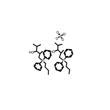 CCCC[P+](CC(C)C(O)C(C)C)(c1ccccc1)c1ccccc1.CCCC[P+](CC(C)C(O)C(C)C)(c1ccccc1)c1ccccc1.O=S(=O)([O-])[O-]